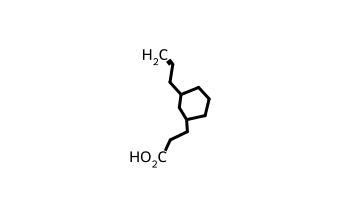 C=CCC1CCCC(CCC(=O)O)C1